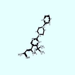 CC(=N)/C=C(\O)c1cnc(N2CCN(c3ncccn3)CC2)nc1C(C)(C)C